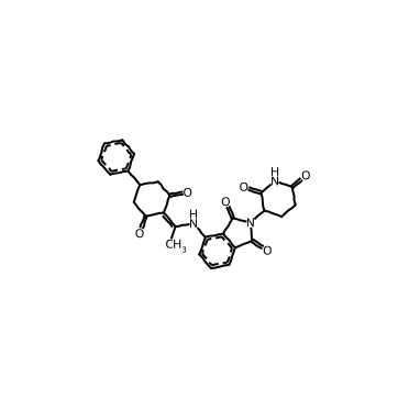 CC(Nc1cccc2c1C(=O)N(C1CCC(=O)NC1=O)C2=O)=C1C(=O)CC(c2ccccc2)CC1=O